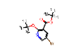 [2H]C([2H])([2H])OC(=O)c1cc(Br)cnc1OC([2H])([2H])[2H]